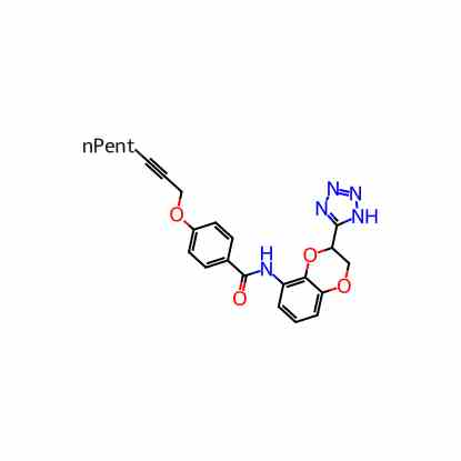 CCCCCC#CCOc1ccc(C(=O)Nc2cccc3c2OC(c2nnn[nH]2)CO3)cc1